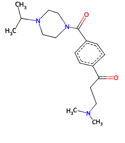 CC(C)N1CCN(C(=O)c2ccc(C(=O)CCN(C)C)cc2)CC1